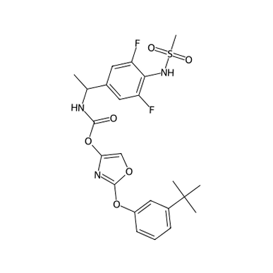 CC(NC(=O)Oc1coc(Oc2cccc(C(C)(C)C)c2)n1)c1cc(F)c(NS(C)(=O)=O)c(F)c1